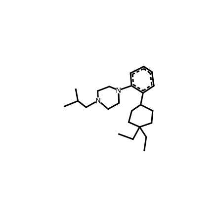 CCC1(CC)CCC(c2ccccc2N2CCN(CC(C)C)CC2)CC1